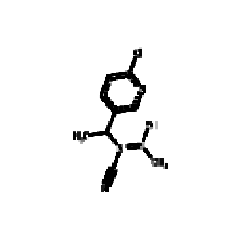 CC(c1ccc(Cl)nc1)[N+](C#N)=S(C)O